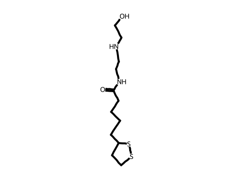 O=C(CCCCC1CCSS1)NCCNCCO